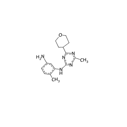 Cc1nc(Nc2cc(N)ccc2C)nc(C2CCOCC2)n1